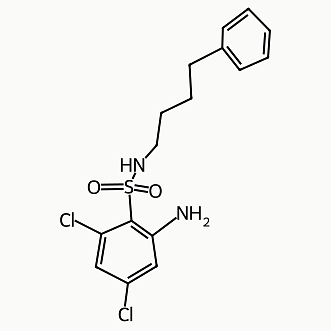 Nc1cc(Cl)cc(Cl)c1S(=O)(=O)NCCCCc1ccccc1